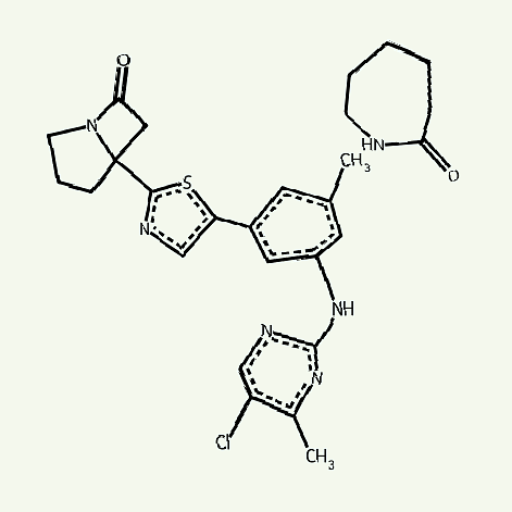 Cc1cc(Nc2ncc(Cl)c(C)n2)cc(-c2cnc(C34CCCN3C(=O)C4)s2)c1.O=C1CCCCCN1